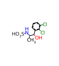 C[C@@H](NS(=O)(=O)O)[C@H](O)c1cccc(Cl)c1Cl